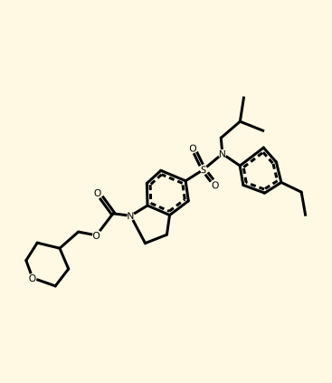 CCc1ccc(N(CC(C)C)S(=O)(=O)c2ccc3c(c2)CCN3C(=O)OCC2CCOCC2)cc1